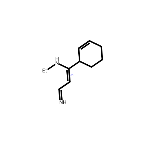 CCN/C(=C\C=N)C1C=CCCC1